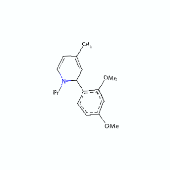 COc1ccc(C2C=C(C)C=CN2C(C)C)c(OC)c1